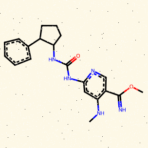 CNc1cc(NC(=O)NC2CCCC2c2ccccc2)ncc1C(=N)OC